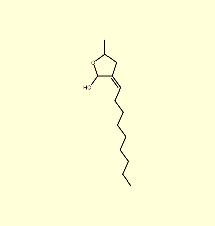 CCCCCCCC/C=C1/CC(C)OC1O